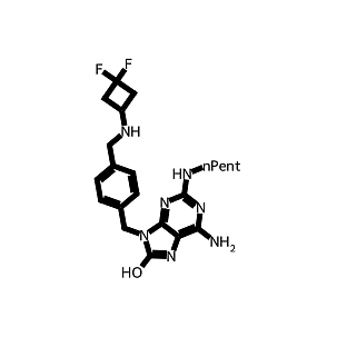 CCCCCNc1nc(N)c2nc(O)n(Cc3ccc(CNC4CC(F)(F)C4)cc3)c2n1